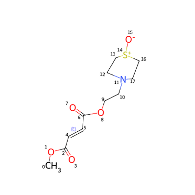 COC(=O)/C=C/C(=O)OCCN1CC[S+]([O-])CC1